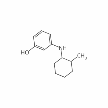 CC1CCCCC1Nc1cccc(O)c1